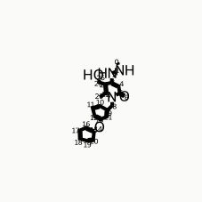 CNNc1cc(=O)n(Cc2cccc(Oc3ccccc3)c2)c(C)c1CO